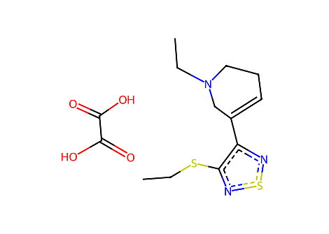 CCSc1nsnc1C1=CCCN(CC)C1.O=C(O)C(=O)O